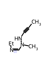 CC#CNN(C)/C=N\CC